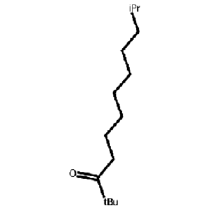 CC(C)CCCCCCCC(=O)C(C)(C)C